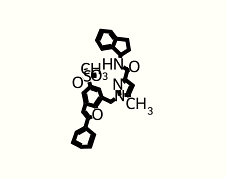 Cc1cc(C(=O)NC2CCc3ccccc32)nn1Cc1cc(S(C)(=O)=O)cc2cc(-c3ccccc3)oc12